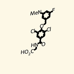 CNc1cc(F)cc(COc2c(Cl)cc(C(=O)NCC(=O)O)cc2Cl)c1